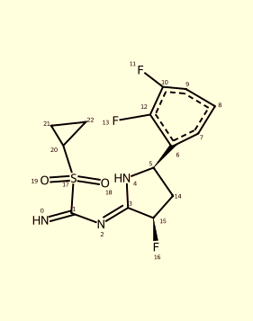 N=C(/N=C1\N[C@@H](c2cccc(F)c2F)C[C@H]1F)S(=O)(=O)C1CC1